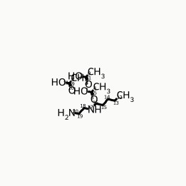 CC(=O)O.CC(=O)O.CC(=O)O.CCCCCNCCN